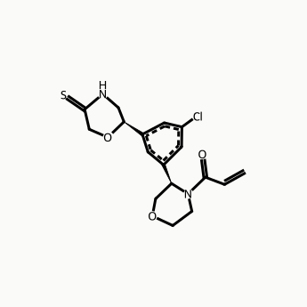 C=CC(=O)N1CCOC[C@H]1c1cc(Cl)cc([C@@H]2CNC(=S)CO2)c1